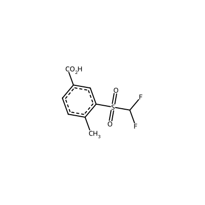 Cc1ccc(C(=O)O)cc1S(=O)(=O)C(F)F